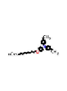 C=Cc1ccc(N(c2ccc(C=C)cc2)c2ccc(OCCCCCCCCCCCCCCCCCCCC)cc2)cc1